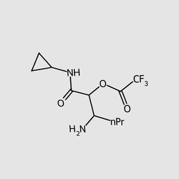 CCCC(N)C(OC(=O)C(F)(F)F)C(=O)NC1CC1